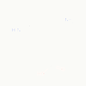 Nc1ccc(N)c2c1CC(C(=O)O)C2